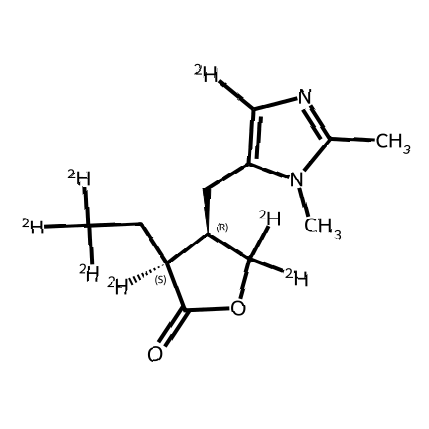 [2H]c1nc(C)n(C)c1C[C@H]1C([2H])([2H])OC(=O)[C@@]1([2H])CC([2H])([2H])[2H]